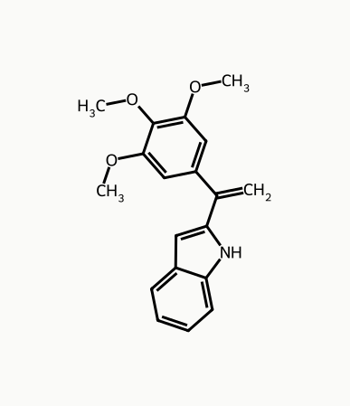 C=C(c1cc(OC)c(OC)c(OC)c1)c1cc2ccccc2[nH]1